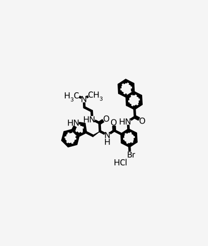 CN(C)CCNC(=O)[C@H](Cc1c[nH]c2ccccc12)NC(=O)c1cc(Br)ccc1NC(=O)c1ccc2ccccc2c1.Cl